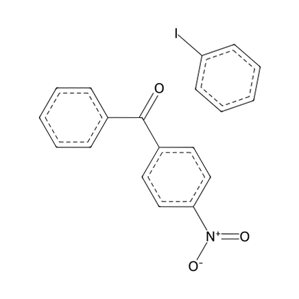 Ic1ccccc1.O=C(c1ccccc1)c1ccc([N+](=O)[O-])cc1